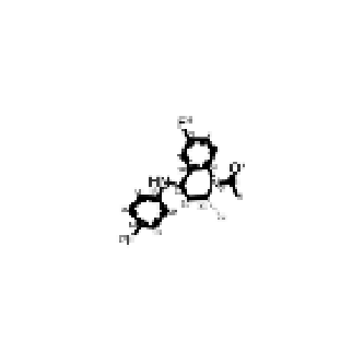 CC(=O)N1c2ccc(F)cc2[C@H](Nc2ccc(F)cc2)C[C@H]1C